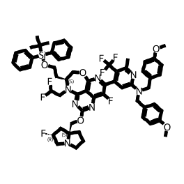 COc1ccc(CN(Cc2ccc(OC)cc2)c2cc(-c3nc4c5c(nc(OC[C@@]67CCCN6C[C@H](F)C7)nc5c3F)N(CC(F)F)[C@@H](CCO[Si](c3ccccc3)(c3ccccc3)C(C)(C)C)CO4)c(C(F)(F)F)c(C)n2)cc1